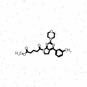 COC(=O)CCCC(=O)N1CCc2c(-c3cccc(C)c3)nc(N3CCOCC3)nc21